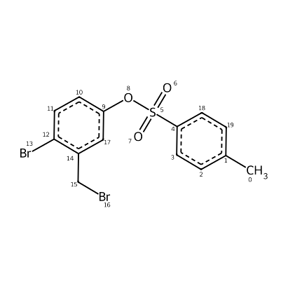 Cc1ccc(S(=O)(=O)Oc2ccc(Br)c(CBr)c2)cc1